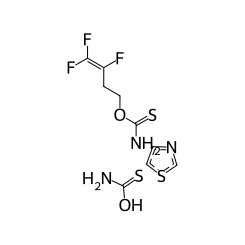 NC(=S)OCCC(F)=C(F)F.NC(O)=S.c1cscn1